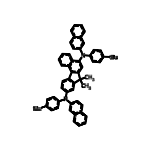 CC(C)(C)c1ccc(N(c2ccc3c(c2)C(C)(C)c2cc(N(c4ccc(C(C)(C)C)cc4)c4ccc5ccccc5c4)c4ccccc4c2-3)c2ccc3ccccc3c2)cc1